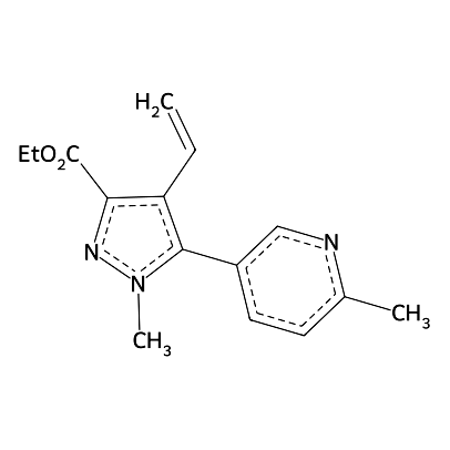 C=Cc1c(C(=O)OCC)nn(C)c1-c1ccc(C)nc1